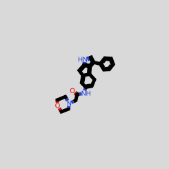 O=C(CN1CCOCC1)NC1=CCC2=c3c(-c4ccccc4)c[nH]c3=CC2=C1